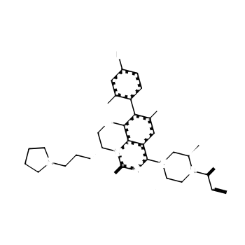 C=CC(=O)N1C[C@H](C)N(c2nc(=O)n3c4c(c(-c5ccc(F)cc5F)c(Cl)cc24)OC[C@H]3CCCN2CC[C@H](F)C2)C[C@H]1C